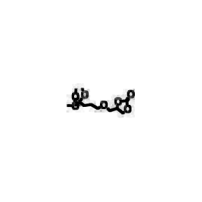 CO[Si](CCCOCC1COC(=O)O1)(OC)OC